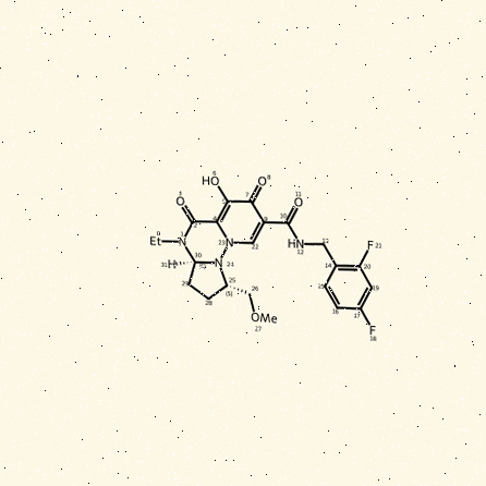 CCN1C(=O)c2c(O)c(=O)c(C(=O)NCc3ccc(F)cc3F)cn2N2[C@H](COC)CC[C@@H]12